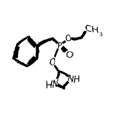 CCOP(=O)(Cc1ccccc1)OC1NCN1